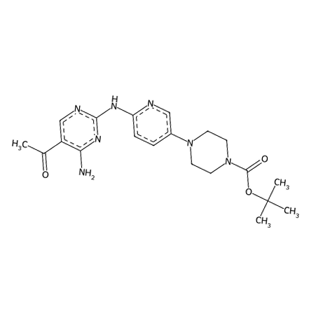 CC(=O)c1cnc(Nc2ccc(N3CCN(C(=O)OC(C)(C)C)CC3)cn2)nc1N